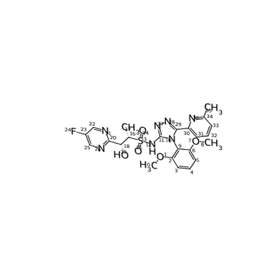 COc1cccc(OC)c1-n1c(NS(=O)(=O)[C@@H](C)[C@H](O)c2ncc(F)cn2)nnc1-c1cccc(C)n1